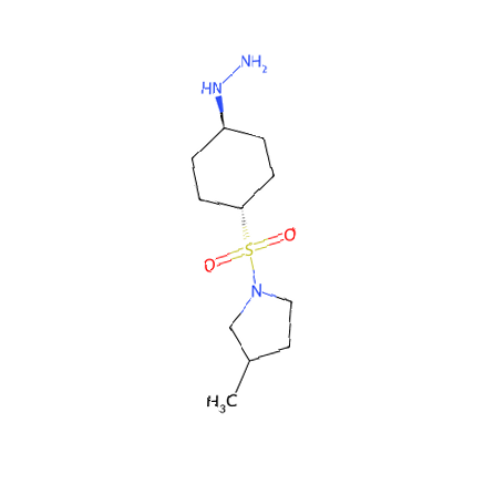 CC1CCN(S(=O)(=O)[C@H]2CC[C@H](NN)CC2)C1